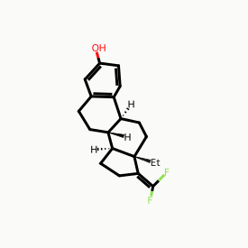 CC[C@]12CC[C@@H]3c4ccc(O)cc4CC[C@H]3[C@@H]1CCC2=C(F)F